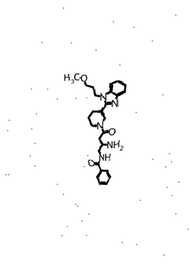 COCCCn1c(C2CCCN(C(=O)CC(N)CNC(=O)c3ccccc3)C2)nc2ccccc21